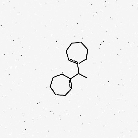 CC(C1=CCCCCC1)C1=CCCCCC1